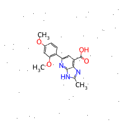 COc1ccc(-c2cc(C(=O)O)c3nc(C)[nH]c3n2)c(OC)c1